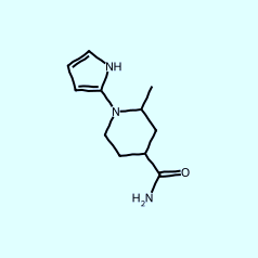 CC1CC(C(N)=O)CCN1c1ccc[nH]1